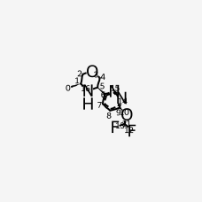 C[C@H]1COC[C@@H](c2ccc(OC(F)F)nn2)N1